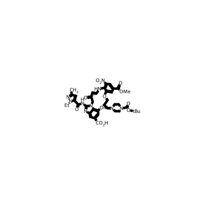 CCn1nc(C)cc1C(=O)Nc1nc2cc(C(=O)O)cc(OC)c2n1CC(=O)/C=C/Nc1c(OCCCN2CCN(C(=O)OC(C)(C)C)CC2)cc(C(=O)OC)cc1[N+](=O)[O-]